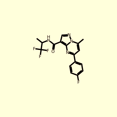 Cc1cc(-c2ccc(F)cc2)nc2c(C(=O)NC(C)C(F)(F)F)cnn12